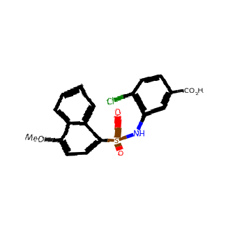 COc1ccc(S(=O)(=O)Nc2cc(C(=O)O)ccc2Cl)c2ccccc12